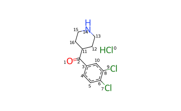 Cl.O=C(c1ccc(Cl)c(Cl)c1)C1CCNCC1